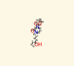 C\C=C/C(O)=C\C=C\CN1CCCN(C(=O)OC(C)(C)C)CC1=O